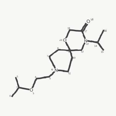 CC(C)OCCN1CCC2(CC1)CN(C(C)C)C(=O)CO2